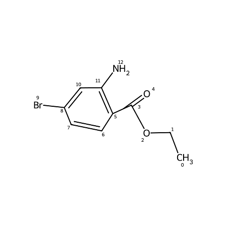 CCOC(=O)c1ccc(Br)cc1N